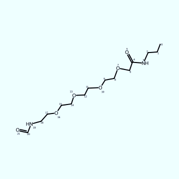 CCCNC(=O)COCCOCCOCCOCCNC=O